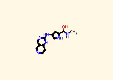 CNC(O)c1cc(Nc2ncc3cnccc3n2)c[nH]1